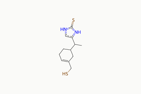 CC(c1c[nH]c(=S)[nH]1)C1CCC=C(CS)C1